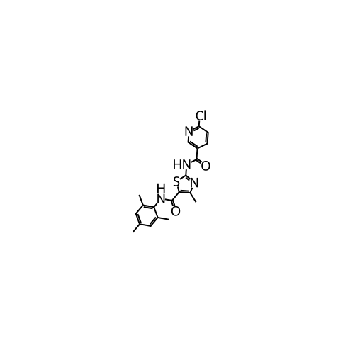 Cc1cc(C)c(NC(=O)c2sc(NC(=O)c3ccc(Cl)nc3)nc2C)c(C)c1